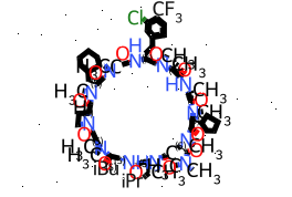 CC[C@H](C)[C@@H]1NC(=O)[C@H](CC(C)C)N(C)C(=O)C[C@@H](C(=O)N(C)C)N(C)C(=O)[C@H](C2CCCC2)N(C)C(=O)[C@H](C)NC(=O)[C@H](C)N(C)C(=O)[C@H](CCc2ccc(C(F)(F)F)c(Cl)c2)NC(=O)CN(C)C(=O)[C@H](CC2CCCCC2)N(C)C(=O)[C@@H]2CCN2C(=O)[C@H](C)N(C)C1=O